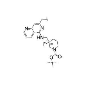 CC(C)(C)OC(=O)N1CCC[C@@](F)(CNc2nc(CI)cc3ncccc23)C1